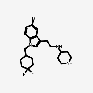 FC1(F)CCC(Cn2cc(CCNC3CCNCC3)c3cc(Br)ccc32)CC1